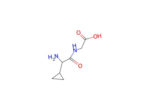 NC(C(=O)NCC(=O)O)C1CC1